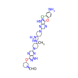 CC1(NCC2(N)CCN(c3cnc4c(Oc5ccc(N)cc5Cl)n[nH]c4n3)CC2)CCN(c2cnc3c(OC4CCCN(C=O)C4)n[nH]c3n2)CC1